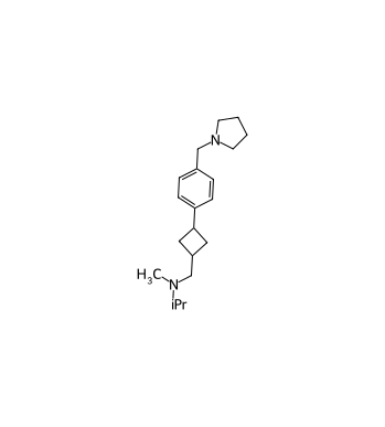 CC(C)N(C)CC1CC(c2ccc(CN3CCCC3)cc2)C1